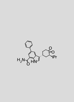 CC(C)[C@H]1C[C@H](c2c[nH]c3c(C(N)=O)cc(-c4ccccc4)cc23)CCS1(=O)=O